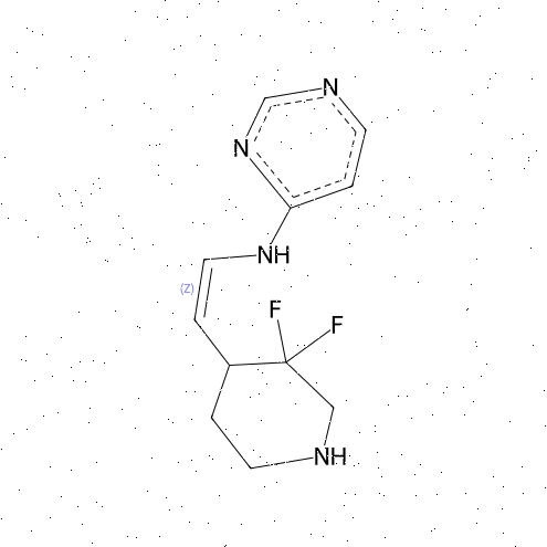 FC1(F)CNCCC1/C=C\Nc1ccncn1